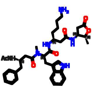 CC(=O)N[C@H](CC(=O)N(C)[C@H](Cc1c[nH]c2ccccc12)C(=O)N[C@@H](CCCCN)CC(=O)N[C@@H]1CC(=O)O[C@@H]1C)Cc1ccccc1